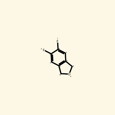 Fc1cc2c(cc1F)COC2